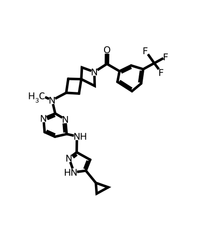 CN(c1nccc(Nc2cc(C3CC3)[nH]n2)n1)C1CC2(C1)CN(C(=O)c1cccc(C(F)(F)F)c1)C2